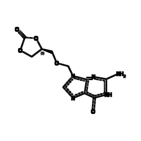 Nc1nc2c(ncn2COC[C@H]2COC(=O)O2)c(=O)[nH]1